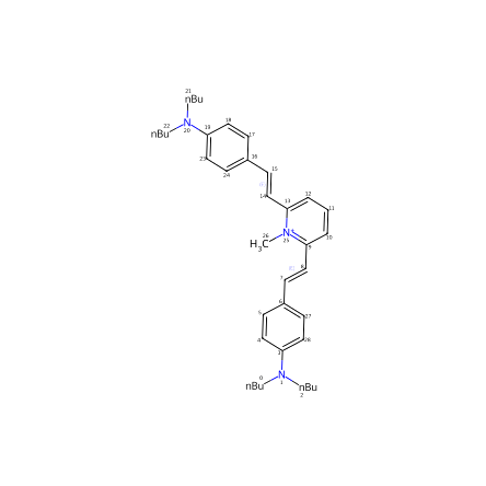 CCCCN(CCCC)c1ccc(/C=C/c2cccc(/C=C/c3ccc(N(CCCC)CCCC)cc3)[n+]2C)cc1